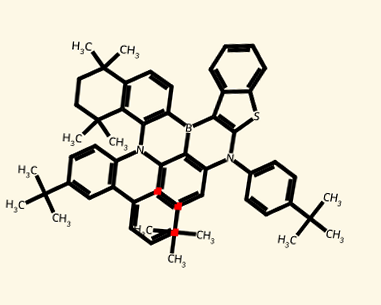 CC(C)(C)c1ccc(N2c3cc(C(C)(C)C)cc4c3B(c3ccc5c(c3N4c3ccc(C(C)(C)C)cc3-c3ccccc3)C(C)(C)CCC5(C)C)c3c2sc2ccccc32)cc1